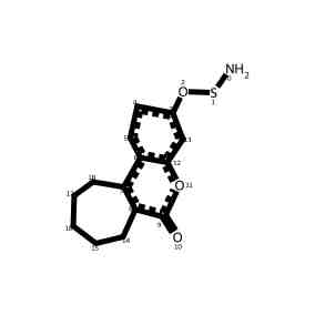 NSOc1ccc2c3c(c(=O)oc2c1)CCCCC3